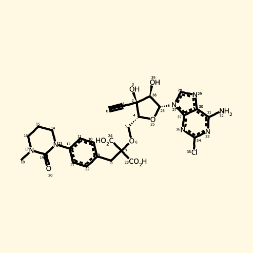 C#C[C@@]1(O)[C@@H](COC(Cc2ccc(N3CCCN(C)C3=O)cc2)(C(=O)O)C(=O)O)O[C@@H](n2cnc3c(N)nc(Cl)nc32)[C@@H]1O